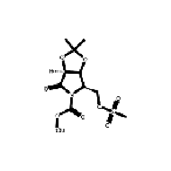 CC(C)(C)OC(=O)N1C(=O)[C@H]2OC(C)(C)OC2[C@H]1COS(C)(=O)=O